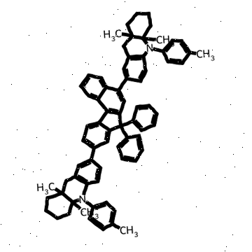 Cc1ccc(N2c3ccc(-c4ccc5c(c4)C(c4ccccc4)(c4ccccc4)c4cc(-c6ccc7c(c6)CC6(C)CCCCC6(C)N7c6ccc(C)cc6)c6ccccc6c4-5)cc3CC3(C)CCCCC23C)cc1